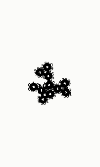 c1ccc(-c2cc(-c3ccccc3-c3ccccc3)nc(-c3cc(-c4ccc(-c5ccccc5)c(-c5ccccc5)c4)cc(-c4ccc(-c5ccccc5)c(-c5ccccc5)c4)c3)n2)cc1